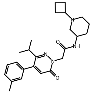 Cc1cccc(-c2cc(=O)n(CC(=O)NC3CCCN(C4CCC4)C3)nc2C(C)C)c1